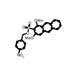 COc1cc2cc3ccccc3cc2c(OC)c1S(=O)(=O)OCc1ccc([N+](=O)[O-])cc1